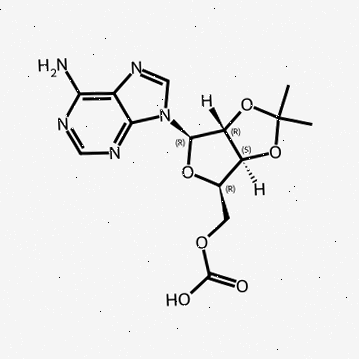 CC1(C)O[C@@H]2[C@@H](O1)[C@@H](COC(=O)O)O[C@H]2n1cnc2c(N)ncnc21